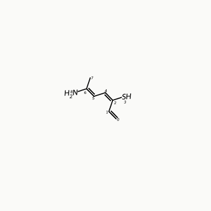 C=C/C(S)=C\C=C(/C)N